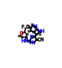 N#Cc1cnc(NC2CCOCC2)nc1-c1c[nH]c2ncc(C(F)(F)F)cc12